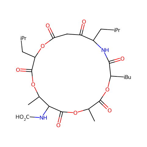 CCC(C)C1OC(=O)C(C)OC(=O)C(NC(=O)O)C(C)OC(=O)C(CC(C)C)OC(=O)CC(=O)C(CC(C)C)NC1=O